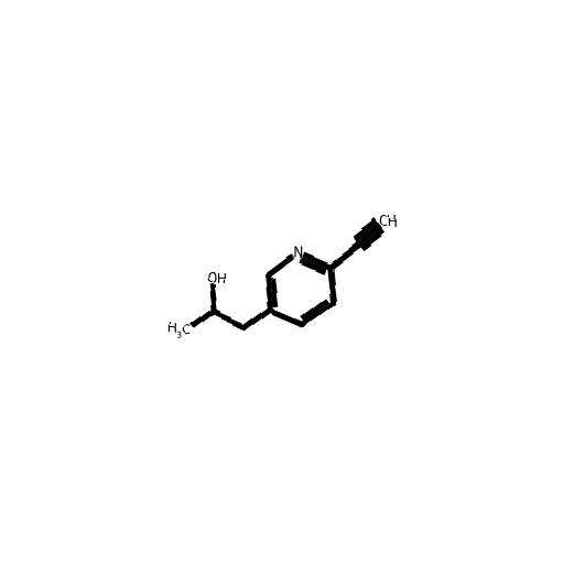 C#Cc1ccc(CC(C)O)cn1